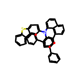 c1ccc(-c2ccc(N(c3ccc4sc5ccccc5c4c3)c3cccc4cccc(-c5ccccc5)c34)c(-c3ccccc3)c2)cc1